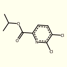 CC(C)OC(=O)c1ccc(Cl)c(Cl)n1